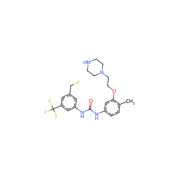 Cc1ccc(NC(=O)Nc2cc(CF)cc(C(F)(F)F)c2)cc1OCCN1CCNCC1